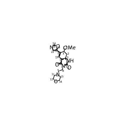 COC1Cc2[nH]c(=O)n(CCN3CCOCC3)c(=O)c2C=C1c1cnco1